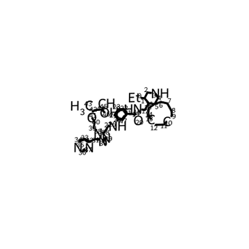 CCC1CNCC2(CCCCCCCCCC2)C1CNC(=O)c1cccc(NCc2nnc(-c3ccncn3)n2CCOC(C)C(C)O)c1